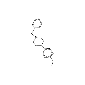 CCc1ccc(C2CCN(Cc3ccccc3)CC2)cc1